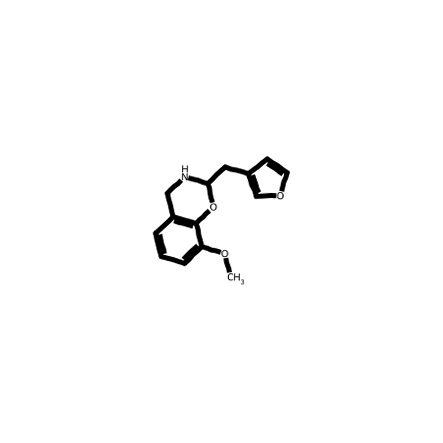 COc1cccc2c1OC(Cc1ccoc1)NC2